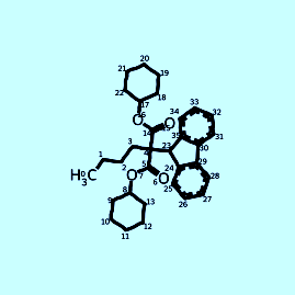 CCCCC(C(=O)OC1CCCCC1)(C(=O)OC1CCCCC1)C1c2ccccc2-c2ccccc21